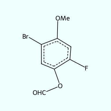 COc1cc(F)c(OC=O)cc1Br